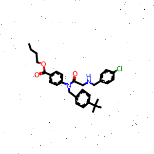 CCCCOC(=O)c1ccc(N(Cc2ccc(C(C)(C)C)cc2)C(=O)CNCc2ccc(Cl)cc2)cc1